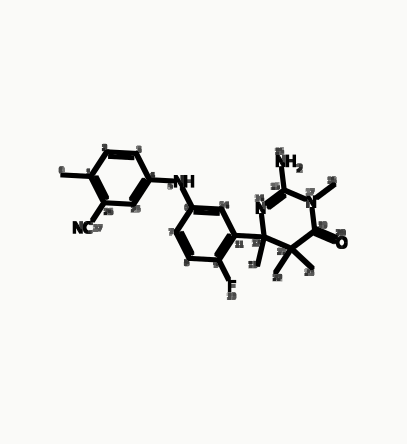 Cc1ccc(Nc2ccc(F)c(C3(C)N=C(N)N(C)C(=O)C3(C)C)c2)cc1C#N